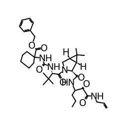 C=CCNC(=O)C(=O)C(CCC)NC(=O)[C@@H]1[C@@H]2[C@H](CN1C(=O)[C@@H](NC(=O)NC1(C(=O)OCc3ccccc3)CCCCC1)C(C)(C)C)C2(C)C